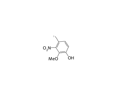 [CH]c1ccc(O)c(OC)c1[N+](=O)[O-]